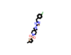 Cc1ccc(S(=O)(=O)N2CCC3(CC2)CN(c2nc(Cc4ccc(F)cc4)ns2)C3)s1